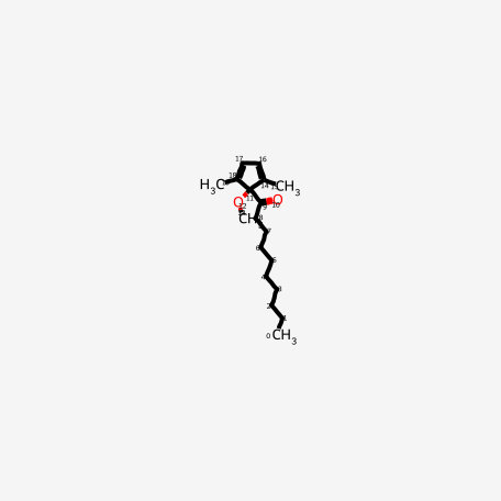 CCCCCCCCCC(=O)C1(OC)C(C)=CC=C1C